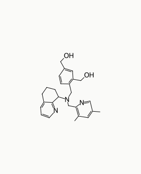 Cc1cnc(CN(Cc2ccc(CO)cc2CO)C2CCCc3cccnc32)c(C)c1